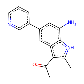 CC(=O)c1c(C)[nH]c2c(N)cc(-c3cccnc3)cc12